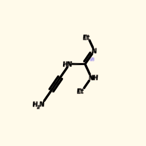 CC/N=C(\NC#CN)NCC